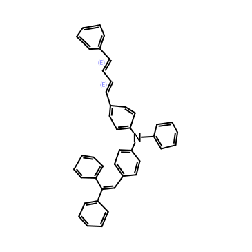 C(=C(c1ccccc1)c1ccccc1)c1ccc(N(c2ccccc2)c2ccc(/C=C/C=C/c3ccccc3)cc2)cc1